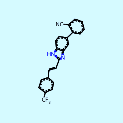 N#Cc1ccccc1-c1ccc2[nH]c(C=Cc3ccc(C(F)(F)F)cc3)nc2c1